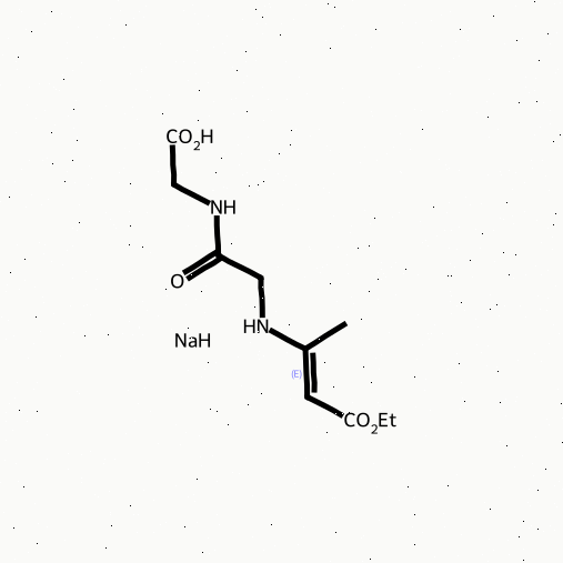 CCOC(=O)/C=C(\C)NCC(=O)NCC(=O)O.[NaH]